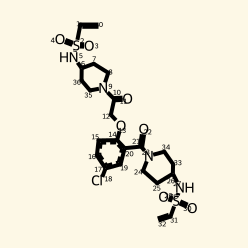 C=CS(=O)(=O)NC1CCN(C(=O)COc2ccc(Cl)cc2C(=O)N2CCC(NS(=O)(=O)C=C)CC2)CC1